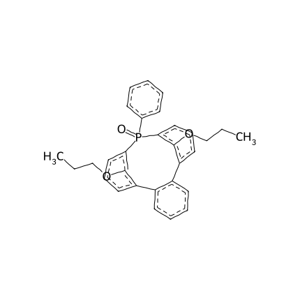 CCCOc1c2cccc1P(=O)(c1ccccc1)c1cccc(c1OCCC)-c1ccccc1-2